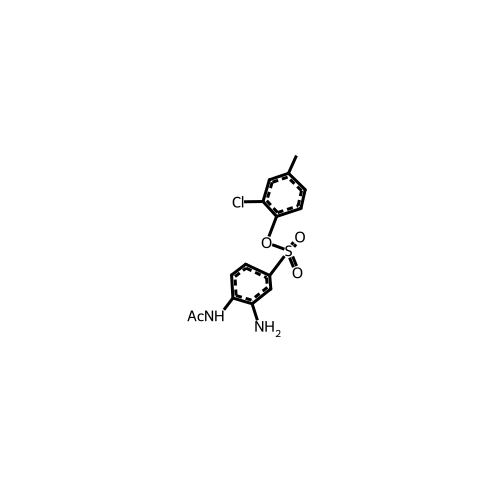 CC(=O)Nc1ccc(S(=O)(=O)Oc2ccc(C)cc2Cl)cc1N